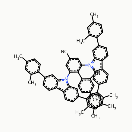 Cc1ccc(-c2ccc3c4ccc(-c5ccc(C)cc5C)cc4n(-c4cc(C#N)cc(-n5c6cc(-c7ccc(C)cc7C)ccc6c6ccc(-c7ccc(C)cc7C)cc65)c4-c4ccc(C(F)(F)F)cc4C#N)c3c2)c(C)c1